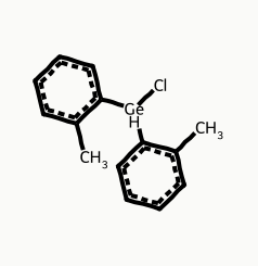 Cc1cccc[c]1[GeH]([Cl])[c]1ccccc1C